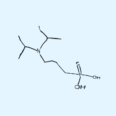 CC(C)N(CCCP(O)(O)=S)C(C)C